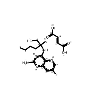 CCCCC(C)(CO)Nc1nc(N)nc2cc(F)cnc12.O=C(O)/C=C/C(=O)O